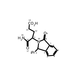 CC(C)C1c2ccccc2C(=O)N1C(CCC(=O)O)C(N)=O